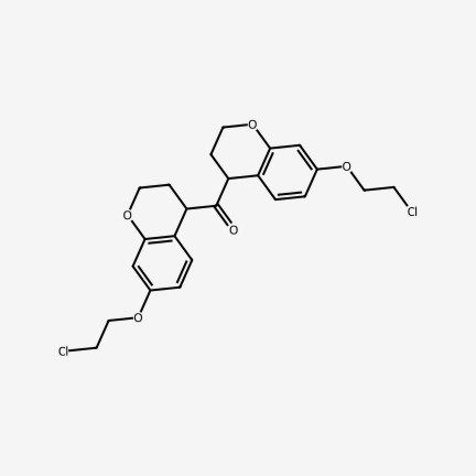 O=C(C1CCOc2cc(OCCCl)ccc21)C1CCOc2cc(OCCCl)ccc21